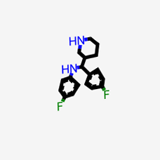 Fc1ccc(NC(c2ccc(F)cc2)C2CCCNC2)cc1